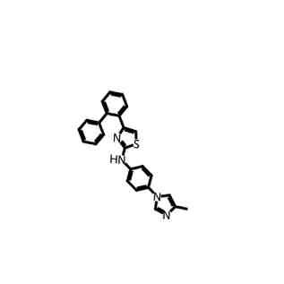 Cc1cn(-c2ccc(Nc3nc(-c4ccccc4-c4ccccc4)cs3)cc2)cn1